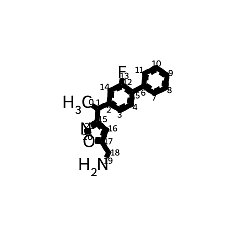 CC(c1ccc(-c2ccccc2)c(F)c1)c1cc(CN)on1